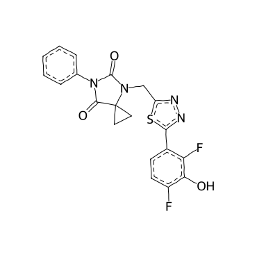 O=C1N(c2ccccc2)C(=O)C2(CC2)N1Cc1nnc(-c2ccc(F)c(O)c2F)s1